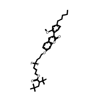 CCCCCc1ccc(-c2cc3ccc(OCCCC(F)(F)CCCOC(=O)C(CC(C)(C)C)C(C)(C)C)cc3oc2=O)c(OC)c1